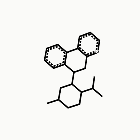 CC1CCC(C(C)C)C(C2Cc3pcccc3-c3ccccc32)C1